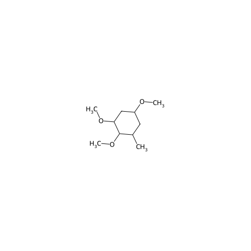 COC1CC(C)C(OC)C(OC)C1